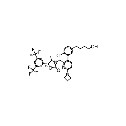 CC1[C@@H](c2cc(C(F)(F)F)cc(C(F)(F)F)c2)OC(=O)N1Cc1nc(N2CCC2)ccc1-c1cc(CCCCO)ccc1Cl